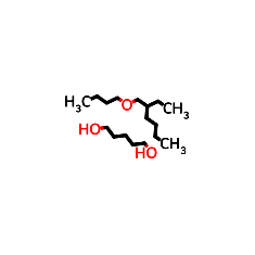 CCCCOCC(CC)CCCC.OCCCCCO